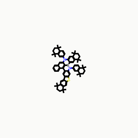 CC1(C)CCC(C)(C)c2cc(N3B4c5cc6c(cc5N(c5ccc7c(c5)C(C)(C)CCC7(C)C)c5cc7ccccc7c(c54)-c4cc5c(cc43)sc3cc4c(cc35)C(C)(C)CCC4(C)C)C(C)(C)CCC6(C)C)ccc21